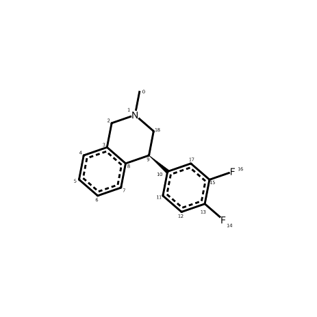 CN1Cc2ccccc2[C@H](c2ccc(F)c(F)c2)C1